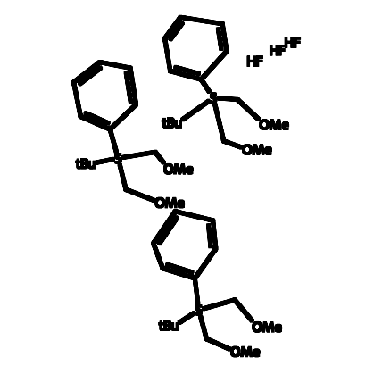 COCS(COC)(c1ccccc1)C(C)(C)C.COCS(COC)(c1ccccc1)C(C)(C)C.COCS(COC)(c1ccccc1)C(C)(C)C.F.F.F